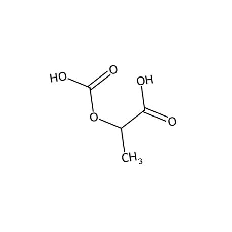 CC(OC(=O)O)C(=O)O